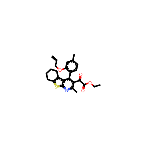 C=CCOc1cc(C)ccc1-c1c(C(=O)C(=O)OCC)c(C)nc2sc3c(c12)CCCC3